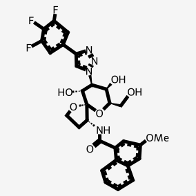 COc1cc(C(=O)N[C@@H]2CCO[C@]23O[C@H](CO)[C@H](O)[C@H](n2cc(-c4cc(F)c(F)c(F)c4)nn2)[C@H]3O)c2ccccc2c1